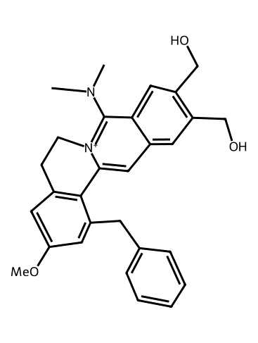 COc1cc2c(c(Cc3ccccc3)c1)-c1cc3cc(CO)c(CO)cc3c(N(C)C)[n+]1CC2